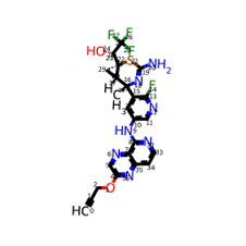 C#CCOc1cnc2c(Nc3cnc(F)c([C@@]4(C)N=C(N)S[C@@]5([C@H](O)C(F)(F)F)C[C@H]54)c3)nccc2n1